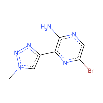 Cn1cc(-c2nc(Br)cnc2N)nn1